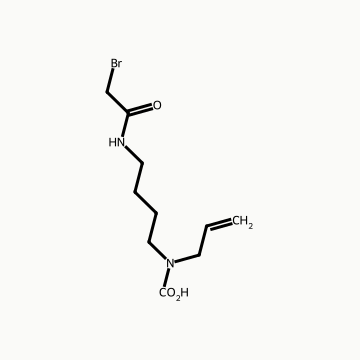 C=CCN(CCCCNC(=O)CBr)C(=O)O